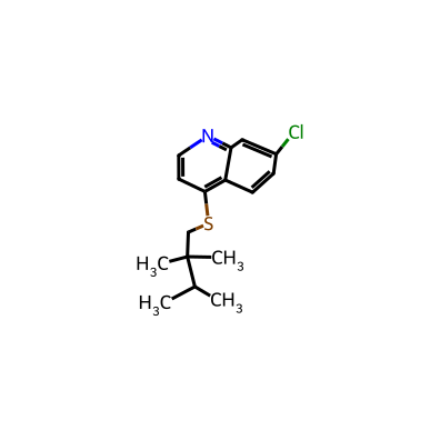 CC(C)C(C)(C)CSc1ccnc2cc(Cl)ccc12